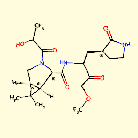 CC1(C)[C@@H]2[C@@H](C(=O)NC(C[C@@H]3CCNC3=O)C(=O)COC(F)(F)F)N(C(=O)C(O)C(F)(F)F)C[C@@H]21